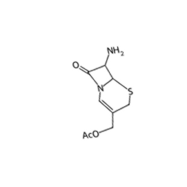 CC(=O)OCC1=CN2C(=O)C(N)C2SC1